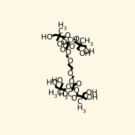 CC(CO)(CO)C(=O)OC(C)(OC(=O)C(C)(CO)CO)C(=O)OCOCCOCOC(=O)C(C)(OC(=O)C(C)(CO)CO)OC(=O)C(C)(CO)CO